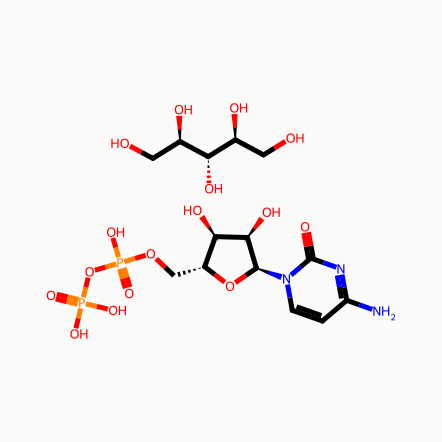 Nc1ccn([C@H]2O[C@H](COP(=O)(O)OP(=O)(O)O)[C@@H](O)[C@H]2O)c(=O)n1.OC[C@@H](O)[C@@H](O)[C@@H](O)CO